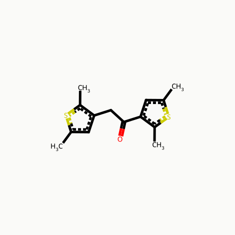 Cc1cc(CC(=O)c2cc(C)sc2C)c(C)s1